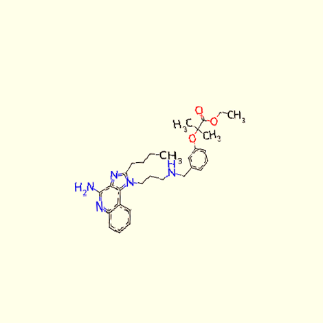 CCCCc1nc2c(N)nc3ccccc3c2n1CCCNCc1cccc(OC(C)(C)C(=O)OCC)c1